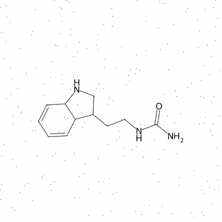 NC(=O)NCCC1CNC2C=CC=CC12